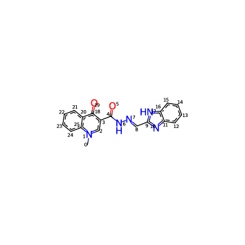 Cn1cc(C(=O)N/N=C/c2nc3ccccc3[nH]2)c(=O)c2ccccc21